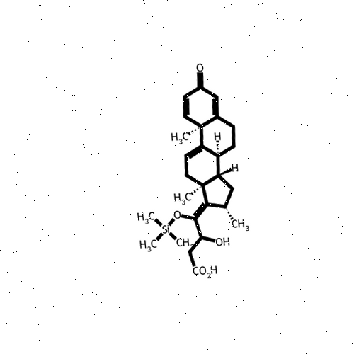 C[C@H]1C[C@H]2[C@@H]3CCC4=CC(=O)C=C[C@]4(C)C3=CC[C@]2(C)C1=C(O[Si](C)(C)C)C(O)CC(=O)O